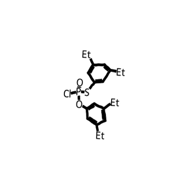 CCc1cc(CC)cc(OP(=O)(Cl)Sc2cc(CC)cc(CC)c2)c1